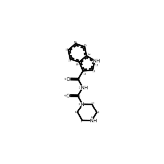 O=C(NC(=O)N1CCNCC1)c1c[nH]c2ccccc12